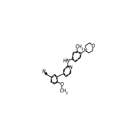 COc1ccc(C#N)cc1-c1ccnc(Nc2ccc(N3CCOCC3)c(C)c2)c1